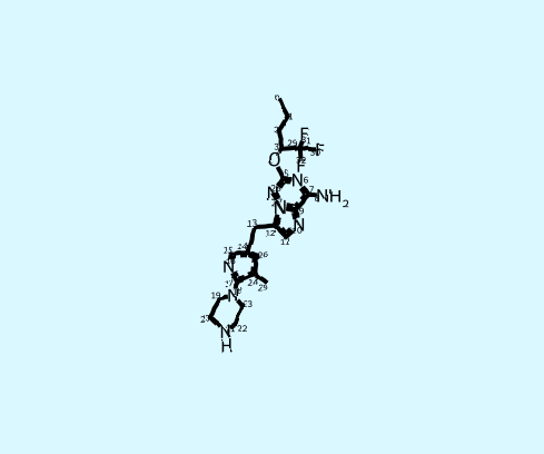 CCCC(Oc1nc(N)c2ncc(Cc3cnc(N4CCNCC4)c(C)c3)n2n1)C(F)(F)F